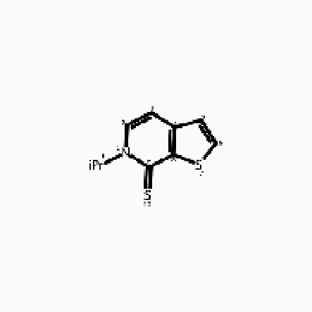 CC(C)n1ccc2ccsc2c1=S